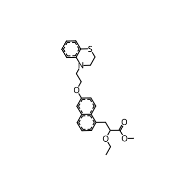 CCOC(Cc1cccc2cc(OCCN3CCSc4ccccc43)ccc12)C(=O)OC